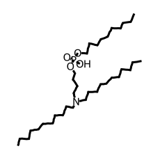 CCCCCCCCCCCN(CCCCCCCCCCC)CCCCOP(=O)(O)OCCCCCCCCCC